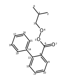 CC(C)[CH]OOC(=O)c1ccccc1-c1ccccc1